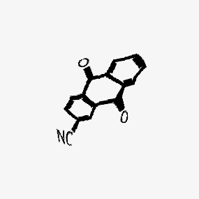 N#Cc1ccc2c(c1)C(=O)c1ccccc1C2=O